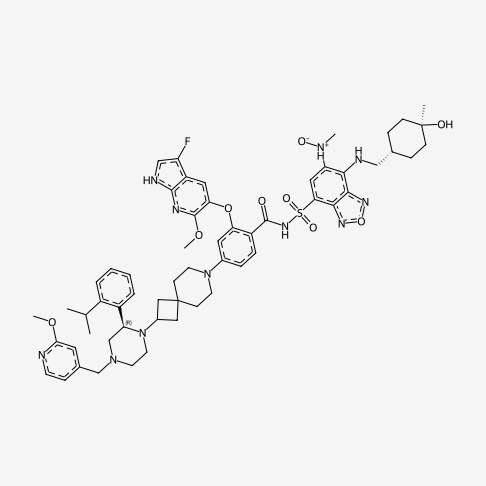 COc1cc(CN2CCN(C3CC4(CCN(c5ccc(C(=O)NS(=O)(=O)c6cc([NH+](C)[O-])c(NC[C@H]7CC[C@](C)(O)CC7)c7nonc67)c(Oc6cc7c(F)c[nH]c7nc6OC)c5)CC4)C3)[C@H](c3ccccc3C(C)C)C2)ccn1